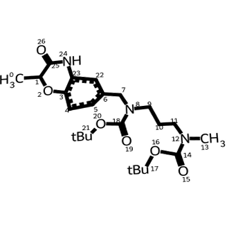 CC1Oc2ccc(CN(CCCN(C)C(=O)OC(C)(C)C)C(=O)OC(C)(C)C)cc2NC1=O